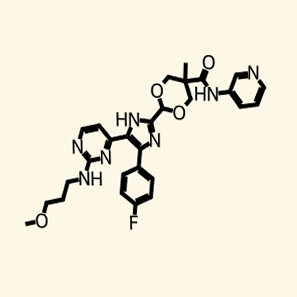 COCCCNc1nccc(-c2[nH]c(C3OCC(C)(C(=O)Nc4cccnc4)CO3)nc2-c2ccc(F)cc2)n1